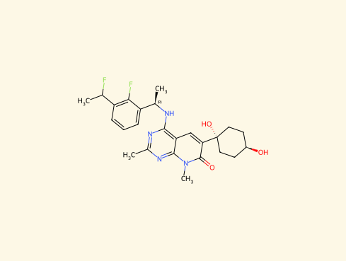 Cc1nc(N[C@H](C)c2cccc(C(C)F)c2F)c2cc([C@]3(O)CC[C@H](O)CC3)c(=O)n(C)c2n1